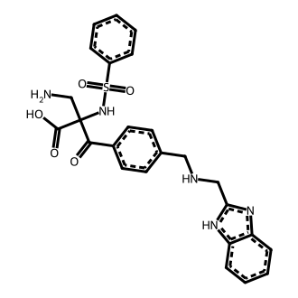 NCC(NS(=O)(=O)c1ccccc1)(C(=O)O)C(=O)c1ccc(CNCc2nc3ccccc3[nH]2)cc1